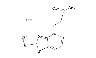 Br.CSC1N=C2C(=CC=CN2CCC(N)=O)O1